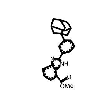 COC(=O)c1cccc2nc(-c3cccc(C45CC6CC(CC(C6)C4)C5)c3)[nH]c12